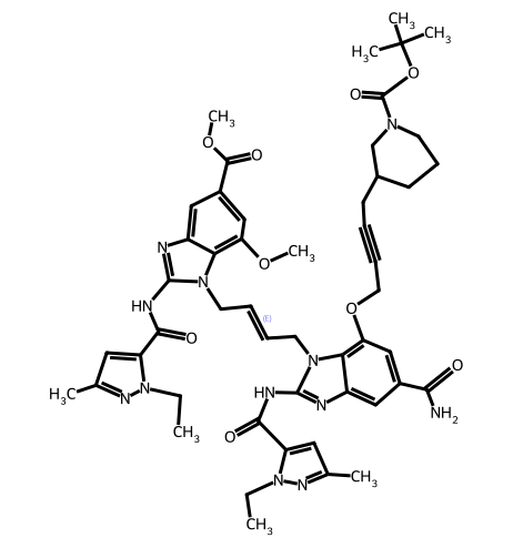 CCn1nc(C)cc1C(=O)Nc1nc2cc(C(=O)OC)cc(OC)c2n1C/C=C/Cn1c(NC(=O)c2cc(C)nn2CC)nc2cc(C(N)=O)cc(OCC#CCC3CCCN(C(=O)OC(C)(C)C)C3)c21